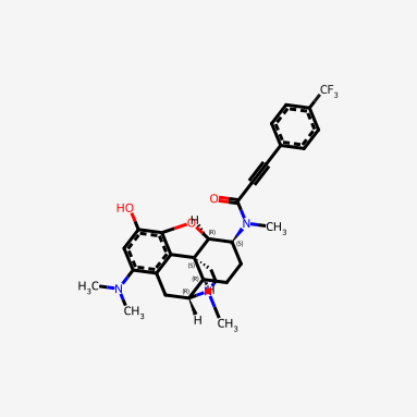 CN(C)c1cc(O)c2c3c1C[C@@H]1[C@@H]4CC[C@H](N(C)C(=O)C#Cc5ccc(C(F)(F)F)cc5)[C@H](O2)[C@]34CCN1C